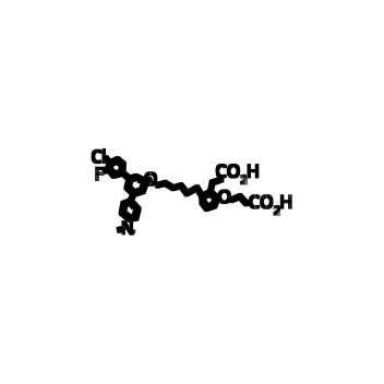 CN(C)c1ccc(-c2cc(OCCCCCCc3cccc(OCCCC(=O)O)c3CCC(=O)O)cc(-c3ccc(Cl)c(F)c3)c2)cc1